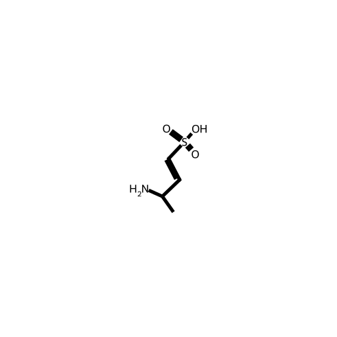 CC(N)C=CS(=O)(=O)O